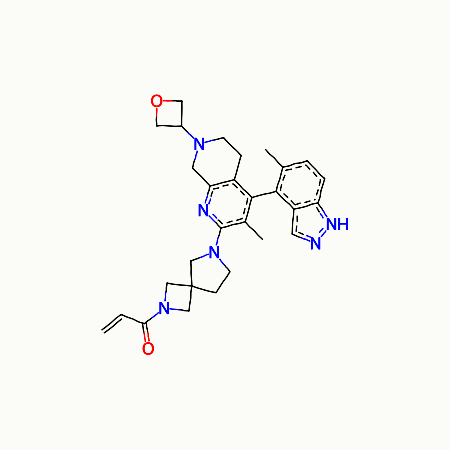 C=CC(=O)N1CC2(CCN(c3nc4c(c(-c5c(C)ccc6[nH]ncc56)c3C)CCN(C3COC3)C4)C2)C1